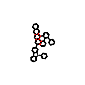 c1ccc(-c2ccccc2-c2c(-c3ccccc3)cccc2N(c2ccc(-c3ccc4c5ccccc5n(-c5ccccc5)c4c3)cc2)c2ccc3ccccc3c2)cc1